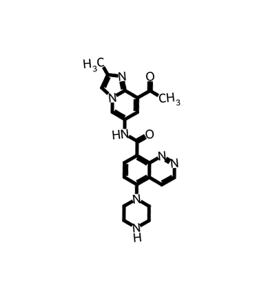 CC(=O)c1cc(NC(=O)c2ccc(N3CCNCC3)c3ccnnc23)cn2cc(C)nc12